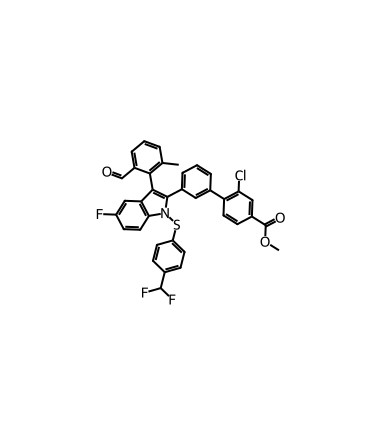 COC(=O)c1ccc(-c2cccc(-c3c(-c4c(C)cccc4C=O)c4cc(F)ccc4n3Sc3ccc(C(F)F)cc3)c2)c(Cl)c1